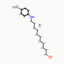 O=C([O-])c1ccc(NCCCCCCCCCCCO)cc1.[K+]